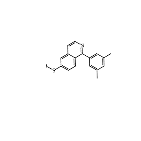 Cc1cc(C)cc(-c2nccc3cc(SI)ccc23)c1